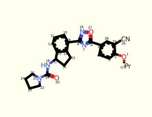 CC(C)Oc1ccc(-c2nc(-c3cccc4c3CCC4NC(=O)N3CCCC3)no2)cc1C#N